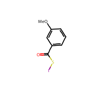 COc1cccc(C(=O)SI)c1